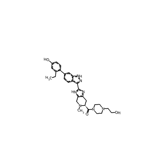 CCc1cc(O)ccc1-c1ccc2c(-c3nc4c([nH]3)CN(C)[C@H](C(=O)N3CCN(CCO)CC3)C4)n[nH]c2c1